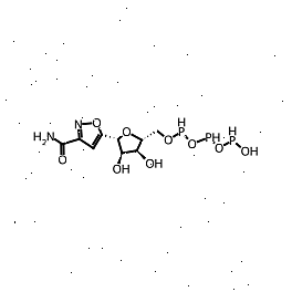 NC(=O)c1cc([C@@H]2O[C@H](COPOPOPO)[C@@H](O)[C@H]2O)on1